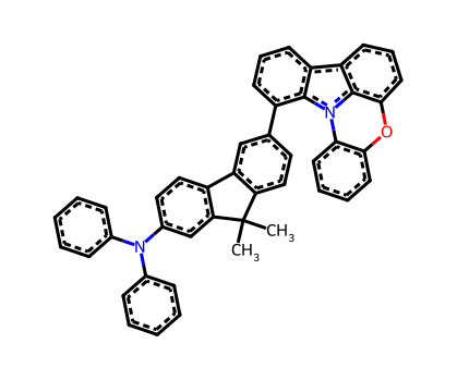 CC1(C)c2ccc(-c3cccc4c5cccc6c5n(c34)-c3ccccc3O6)cc2-c2ccc(N(c3ccccc3)c3ccccc3)cc21